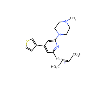 CN1CCN(c2cc(-c3ccsc3)cc(C(C)(C)C)n2)CC1.O=C(O)/C=C/C(=O)O